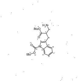 COC(=O)C(CN)Cc1cn(C(=O)OC(C)(C)C)c2ccccc12